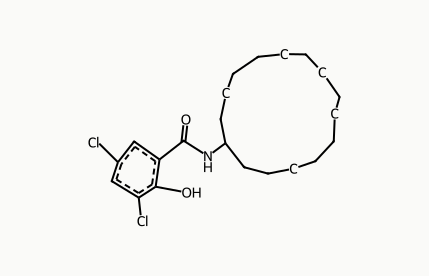 O=C(NC1CCCCCCCCCCCCCC1)c1cc(Cl)cc(Cl)c1O